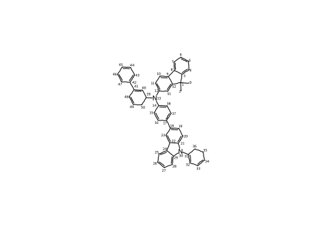 CC1(C)c2ccccc2-c2ccc(N(c3ccc(-c4ccc5c(c4)c4ccccc4n5C4=CC=CCC4)cc3)C3C=C(c4ccccc4)C=CC3)cc21